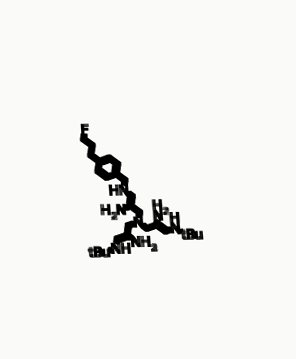 CC(C)(C)N/C=C(\N)CN(C/C(N)=C/NCc1ccc(CCCF)cc1)C/C(N)=C/NC(C)(C)C